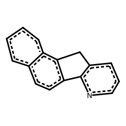 c1cnc2c(c1)Cc1c-2ccc2ccccc12